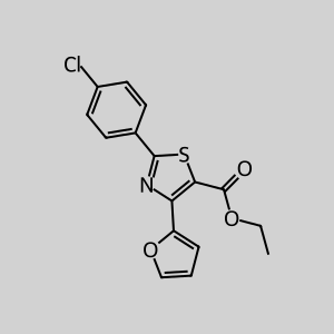 CCOC(=O)c1sc(-c2ccc(Cl)cc2)nc1-c1ccco1